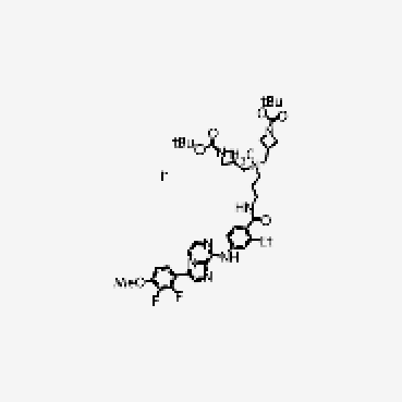 CCc1cc(Nc2nccn3c(-c4ccc(OC)c(F)c4F)cnc23)ccc1C(=O)NCCC[N+](C)(CC1CN(C(=O)OC(C)(C)C)C1)CC1CN(C(=O)OC(C)(C)C)C1.[I-]